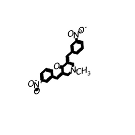 CN1CC(=Cc2cccc([N+](=O)[O-])c2)C(=O)C(=Cc2cccc([N+](=O)[O-])c2)C1